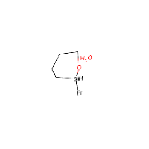 CC[SiH]1CCCCO1.O